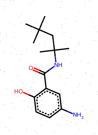 CC(C)(C)CC(C)(C)NC(=O)c1cc(N)ccc1O